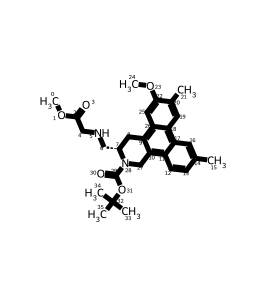 COC(=O)CNC[C@@H]1Cc2c(c3ccc(C)cc3c3cc(C)c(OC)cc23)CN1C(=O)OC(C)(C)C